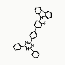 Fc1cc(-c2ccc(-c3nc(-c4ccccc4)nc(-c4ccccc4)n3)cc2)ccc1-n1c2ccccc2c2ccccc21